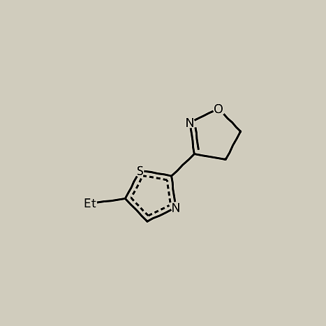 CCc1cnc(C2=NOCC2)s1